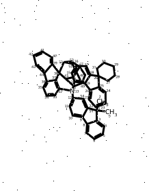 CC1(C)c2ccccc2-c2ccc(N(c3cccc4c3-c3ccccc3C43CCCCC3)c3cccc4c3C3(c5ccccc5-4)C4CC5CC(C4)CC3C5)cc21